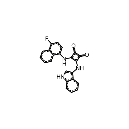 O=c1c(Nc2c[nH]c3ccccc23)c(Nc2ccc(F)c3ccccc23)c1=O